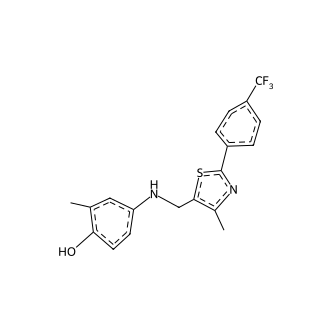 Cc1cc(NCc2sc(-c3ccc(C(F)(F)F)cc3)nc2C)ccc1O